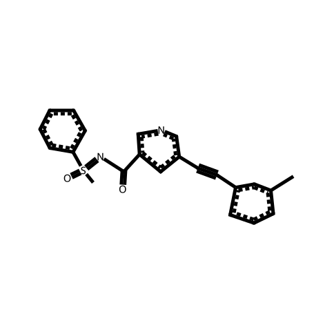 Cc1cccc(C#Cc2cncc(C(=O)N=S(C)(=O)c3ccccc3)c2)c1